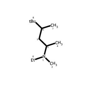 CCN(C)C(C)CC(C)C(C)(C)C